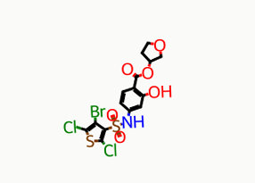 O=C(OC1CCOC1)c1ccc(NS(=O)(=O)c2c(Cl)sc(Cl)c2Br)cc1O